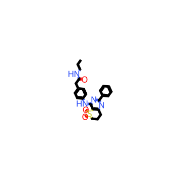 CCCNC(=O)Cc1ccc(Nc2nc(-c3ccccc3)nc3c2S(=O)(=O)CCC3)cc1